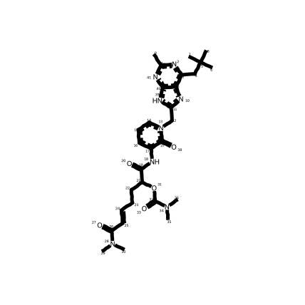 Cc1nc(CC(C)(C)C)c2nc(Cn3cccc(NC(=O)C(CCC=CC(=O)N(C)C)OC(=O)N(C)C)c3=O)[nH]c2n1